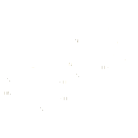 Cc1cnc2c(cnn2CC(C)(C)c2c(C)ncc3[nH]ncc23)c1C(C)(C)C